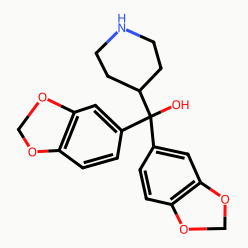 OC(c1ccc2c(c1)OCO2)(c1ccc2c(c1)OCO2)C1CCNCC1